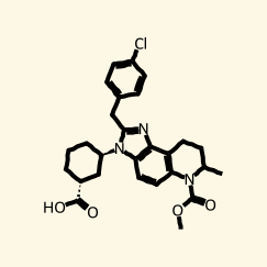 COC(=O)N1c2ccc3c(nc(Cc4ccc(Cl)cc4)n3[C@@H]3CCC[C@@H](C(=O)O)C3)c2CCC1C